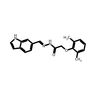 Cc1cccc(C)c1OCC(=O)N/N=C/c1ccc2cc[nH]c2c1